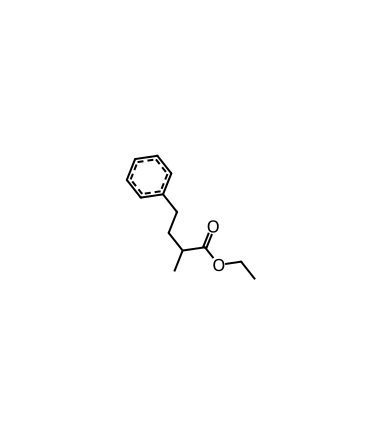 CCOC(=O)C(C)CCc1ccccc1